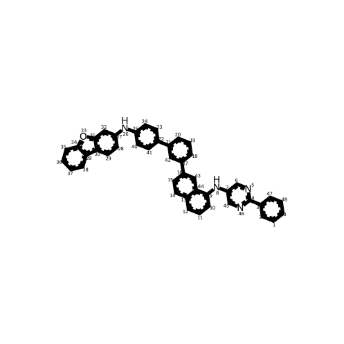 c1ccc(-c2ncc(Nc3cccc4ccc(-c5cccc(-c6ccc(Nc7ccc8c(c7)oc7ccccc78)cc6)c5)cc34)cn2)cc1